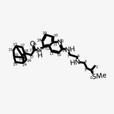 CSC(C)CCNCCNc1ccc2c(NC(=O)CC34CC5CC(CC(C5)C3)C4)cccc2n1